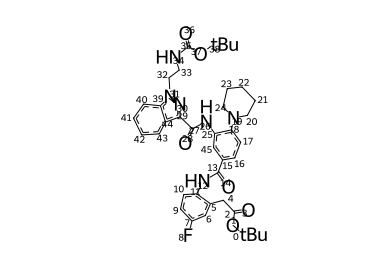 CC(C)(C)OC(=O)Cc1cc(F)ccc1NC(=O)c1ccc(N2CCCCC2)c(NC(=O)c2nn(CCNC(=O)OC(C)(C)C)c3ccccc23)c1